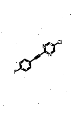 Fc1ccc(C#Cc2ncc(Cl)cn2)cc1